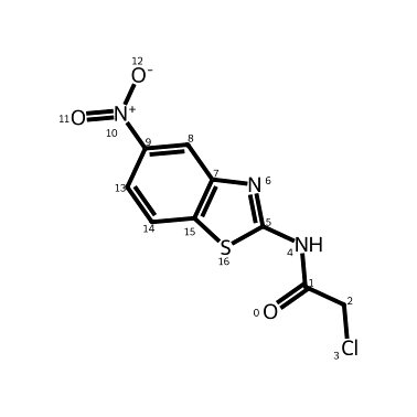 O=C(CCl)Nc1nc2cc([N+](=O)[O-])ccc2s1